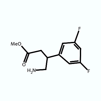 COC(=O)CC(CN)c1cc(F)cc(F)c1